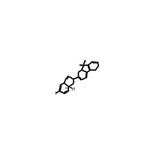 CC1(C)C2=C(CCC=C2)C2=CC=C(C3C=CC4C=C(I)C=C[C@H]4C3)CC21